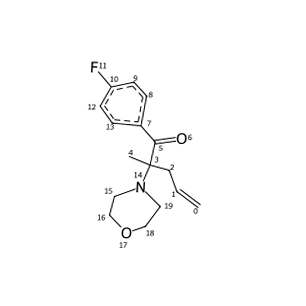 C=CCC(C)(C(=O)c1ccc(F)cc1)N1CCOCC1